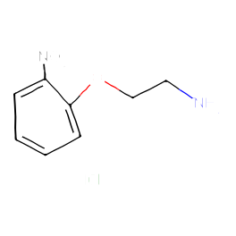 Cl.NCCOc1ccccc1[N+](=O)[O-]